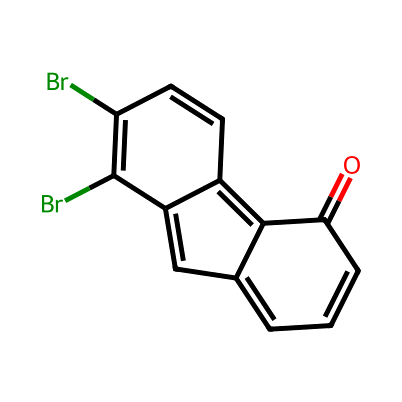 O=C1C=CC=C2C=c3c(Br)c(Br)ccc3=C12